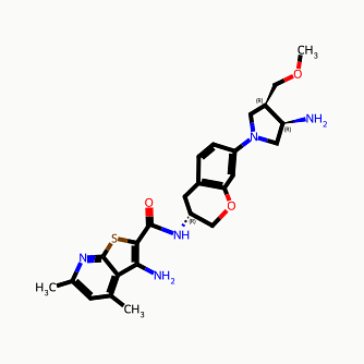 COC[C@@H]1CN(c2ccc3c(c2)OC[C@H](NC(=O)c2sc4nc(C)cc(C)c4c2N)C3)C[C@@H]1N